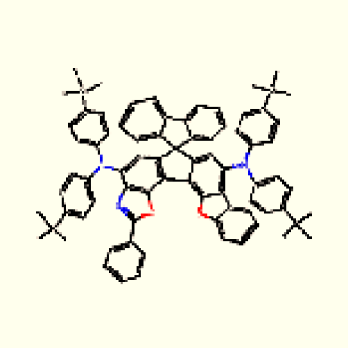 CC(C)(C)c1ccc(N(c2ccc([Si](C)(C)C)cc2)c2cc3c(c4oc(-c5ccccc5)nc24)-c2c(cc(N(c4ccc(C(C)(C)C)cc4)c4ccc([Si](C)(C)C)cc4)c4c2oc2ccccc24)C32c3ccccc3-c3ccccc32)cc1